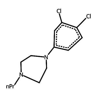 CCCN1CCN(c2ccc(Cl)c(Cl)c2)CC1